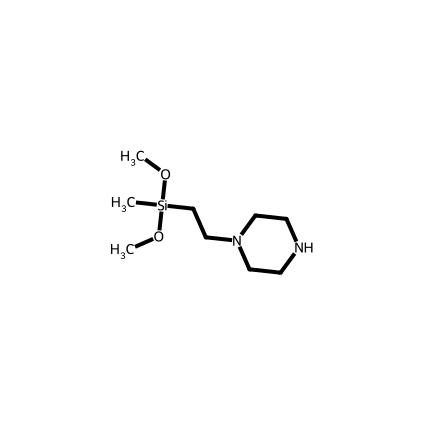 CO[Si](C)(CCN1CCNCC1)OC